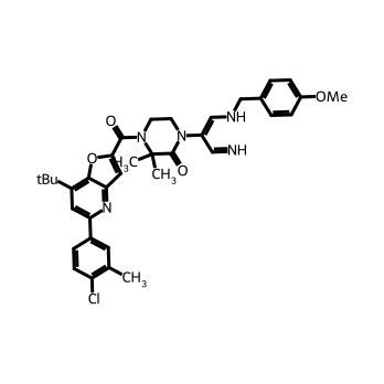 COc1ccc(CN/C=C(\C=N)N2CCN(C(=O)c3cc4nc(-c5ccc(Cl)c(C)c5)cc(C(C)(C)C)c4o3)C(C)(C)C2=O)cc1